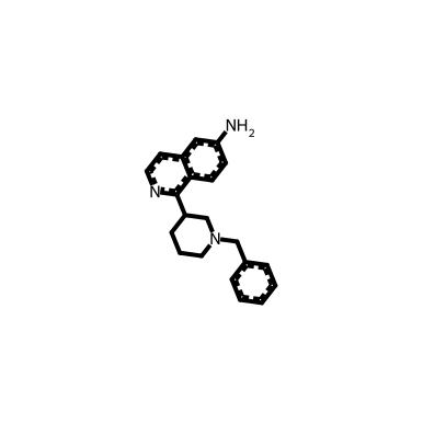 Nc1ccc2c(C3CCCN(Cc4ccccc4)C3)nccc2c1